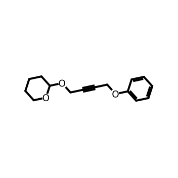 C(#CCOC1CCCCO1)COc1ccccc1